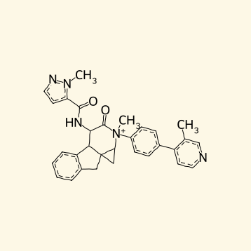 Cc1cnccc1-c1ccc([N+]2(C)C(=O)C(NC(=O)c3ccnn3C)C3c4ccccc4CC34CC42)cc1